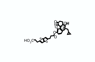 O=C(O)CCc1cc2sc(CCC(=O)Oc3ccc4c5c3O[C@H]3C(=O)CC[C@@]6(O)[C@@H](C4)N(CC4CC4)CC[C@]536)cc2s1